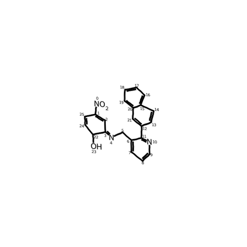 O=[N+]([O-])C1=CC(=NCc2cccnc2-c2ccc3ccccc3c2)C(O)C=C1